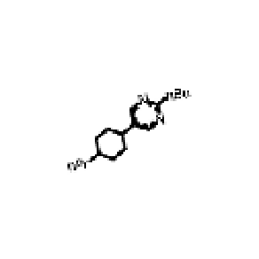 CCCCc1ncc(C2CCC(CCC)CC2)cn1